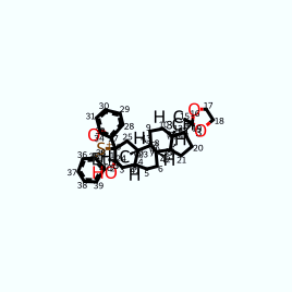 CC[C@]1(O)C[C@@H]2CC[C@@H]3[C@H](CC[C@]4(C)[C@@H](C5(C)OCCO5)CC[C@@H]34)[C@@]2(C)CC1(c1ccccc1)[S+]([O-])c1ccccc1